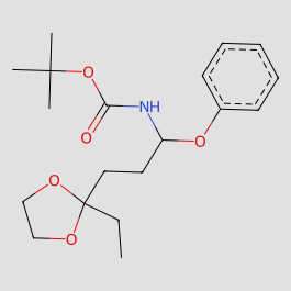 CCC1(CCC(NC(=O)OC(C)(C)C)Oc2ccccc2)OCCO1